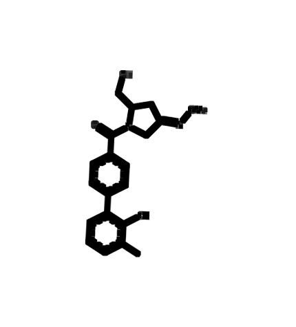 CO/N=C1\CC(CO)N(C(=O)c2ccc(-c3cccc(C)c3C#N)cc2)C1